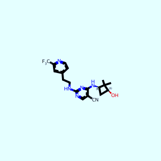 CC1(C)[C@@H](O)C[C@H]1Nc1nc(NCCc2ccnc(C(F)(F)F)c2)ncc1C#N